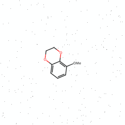 COc1cccc2c1O[CH]CO2